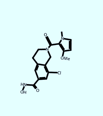 COc1ccn(C)c1C(=O)N1CCc2cc(C(=O)NO)cc(Cl)c2C1